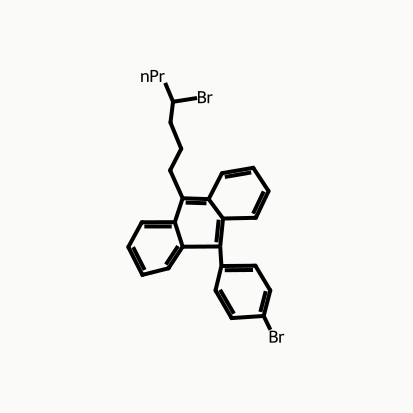 CCCC(Br)CCCc1c2ccccc2c(-c2ccc(Br)cc2)c2ccccc12